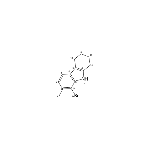 Cc1ccc2c3c([nH]c2c1Br)CCCC3